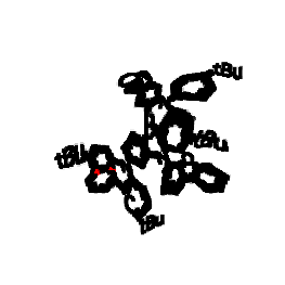 CC(C)(C)c1ccc(N(c2ccc3c(c2)N(c2cccc4c2oc2ccccc24)c2cc(C(C)(C)C)cc4c2B3c2cc3cocc3cc2N4c2ccc(C(C)(C)C)cc2)c2ccc(C(C)(C)C)cc2-c2ccccc2)cc1